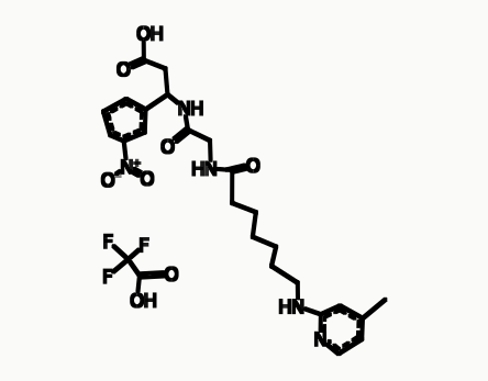 Cc1ccnc(NCCCCCCC(=O)NCC(=O)NC(CC(=O)O)c2cccc([N+](=O)[O-])c2)c1.O=C(O)C(F)(F)F